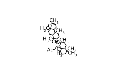 CC(=O)CCC1C(C)(OC2CCC3(C)C4CC=C(C)OC4(C)CCC3C2(C)C)CCC2C(C)(C)CCCC21C